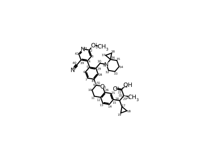 COc1cc(-c2ccc([C@@H]3CCc4ccc(C(C5CC5)[C@H](C)C(=O)O)cc4O3)cc2CN2CCCCC23CC3)c(C#N)cn1